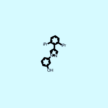 CC(C)c1cccc(C(C)C)c1-c1cnn(-c2cccc(O)c2)c1